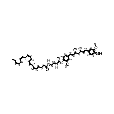 CC/C=C\C/C=C\C/C=C\C/C=C\C/C=C\CCCC(=O)NCCNC(=O)Oc1ccc(/C=C/C(=O)CC(=O)/C=C/c2ccc(O)c(OC)c2)cc1OC